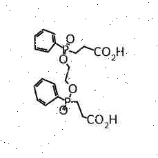 O=C(O)CCP(=O)(OCCOP(=O)(CCC(=O)O)c1ccccc1)c1ccccc1